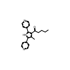 CCCCC(=O)c1c(-c2ccncc2)[nH]c(-c2ccncc2)c1C